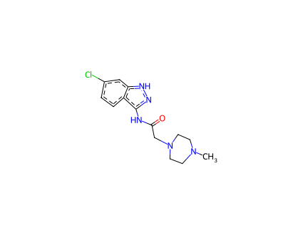 CN1CCN(CC(=O)Nc2n[nH]c3cc(Cl)ccc23)CC1